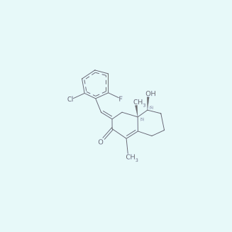 CC1=C2CCC[C@H](O)[C@@]2(C)CC(=Cc2c(F)cccc2Cl)C1=O